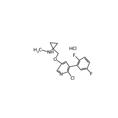 CNC1(COc2cnc(Cl)c(-c3cc(F)ccc3F)c2)CC1.Cl